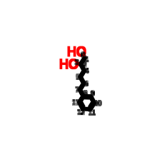 OCC(O)CCCCc1ccccc1